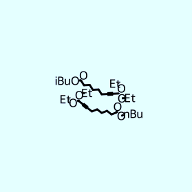 CCCCOC(=O)CCCCCC#CC(OCC)OCC.CCOC(C#CCCCCCC(=O)OCC(C)C)OCC